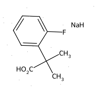 CC(C)(C(=O)O)c1ccccc1F.[NaH]